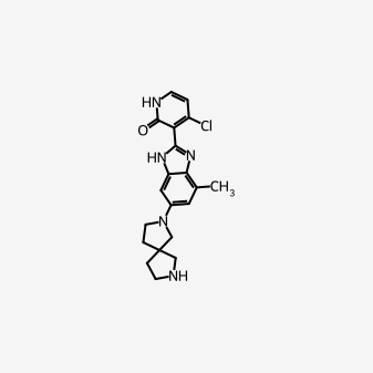 Cc1cc(N2CCC3(CCNC3)C2)cc2[nH]c(-c3c(Cl)cc[nH]c3=O)nc12